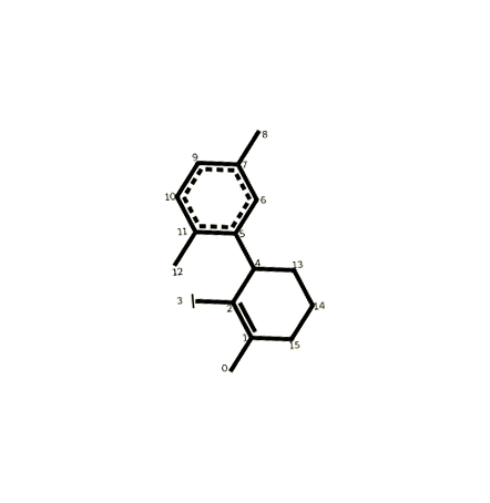 CC1=C(I)C(c2cc(C)ccc2C)CCC1